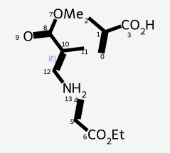 C=C(C)C(=O)O.C=CC(=O)OCC.COC(=O)/C(C)=C/N